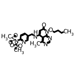 CCCCOn1c(=O)cc(NCc2ccc(N(S(C)(=O)=O)S(C)(=O)=O)nc2)c2c(C)ncnc21